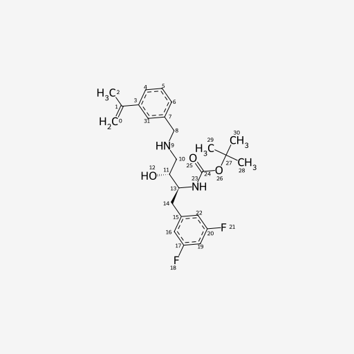 C=C(C)c1cccc(CNC[C@@H](O)[C@H](Cc2cc(F)cc(F)c2)NC(=O)OC(C)(C)C)c1